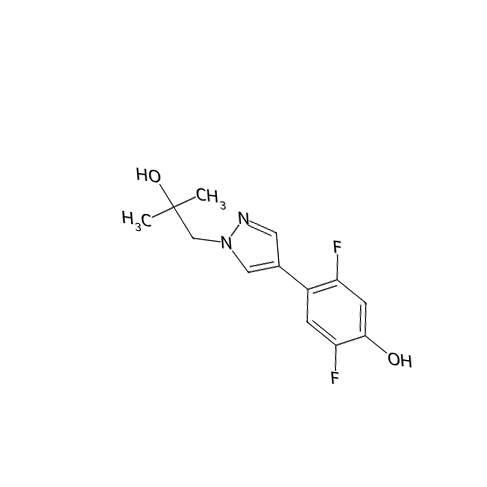 CC(C)(O)Cn1cc(-c2cc(F)c(O)cc2F)cn1